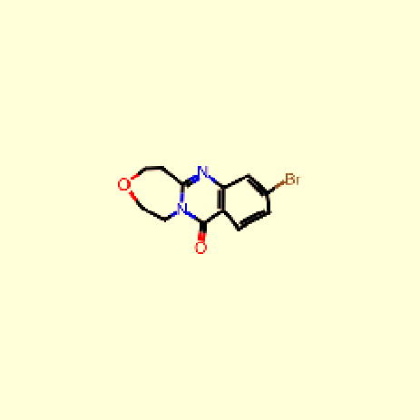 O=c1c2ccc(Br)cc2nc2n1CCOCC2